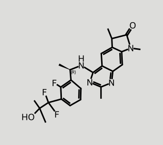 Cc1nc(N[C@H](C)c2cccc(C(F)(F)C(C)(C)O)c2F)c2cc3c(cc2n1)N(C)C(=O)C3C